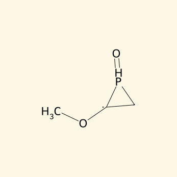 CO[C]1C[PH]1=O